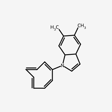 CC1=CC2C=CN(C3=C/C=C/C=C/C=C\3)C2C=C1C